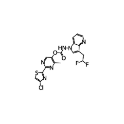 Cc1nc(-c2nc(Cl)cs2)ncc1OC(=O)Nn1cc(CC(F)F)c2ncccc21